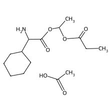 CC(=O)O.CCC(=O)OC(C)OC(=O)C(N)C1CCCCC1